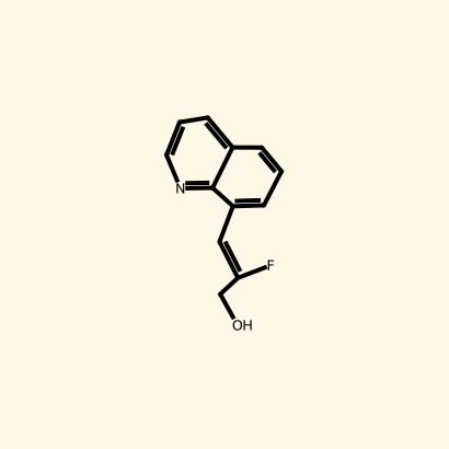 OC/C(F)=C/c1cccc2cccnc12